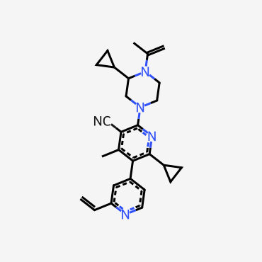 C=Cc1cc(-c2c(C3CC3)nc(N3CCN(C(=C)C)C(C4CC4)C3)c(C#N)c2C)ccn1